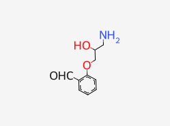 NCC(O)COc1ccccc1C=O